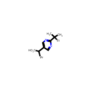 CCC(C)(C)c1ncc(C(C(=O)O)C(C)C)cn1